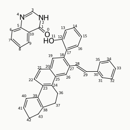 O=c1[nH]cnc2ccccc12.Oc1ccccc1-c1cc2ccc3c(c2cc1C=Cc1ccccc1)CCC1=C3C=CCC1